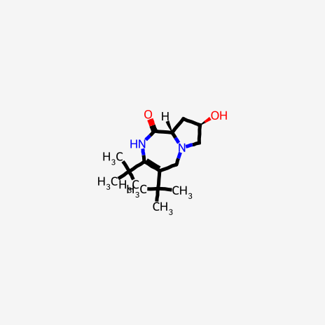 CC(C)(C)C1=C(C(C)(C)C)NC(=O)[C@@H]2C[C@@H](O)CN2C1